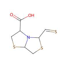 O=C(O)C1CSC2CSC(C=S)N21